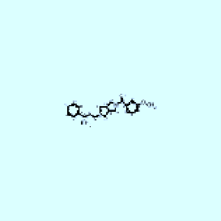 COc1cccc(C(=O)N2CC3CN(CC[C@H](N)c4ccccc4)CC3C2)c1